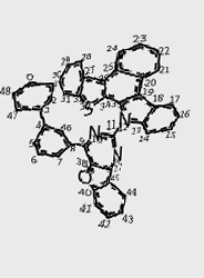 c1ccc(-c2cccc(-c3nc(-n4c5ccccc5c5c6ccccc6c6c7ccccc7sc6c54)nc4c3oc3ccccc34)c2)cc1